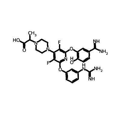 CC(C(=O)O)N1CCN(c2c(F)c(Oc3cccc(NC(=N)N)c3)nc(Oc3cc(C(=N)N)ccc3O)c2F)CC1